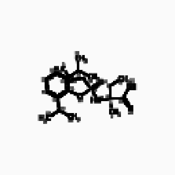 CC[C@](C)(NP(=O)(COC)Oc1c(C(C)C)cccc1C(C)C)C(=O)O